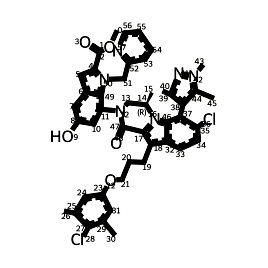 COC(=O)c1cc2cc(O)cc(N3C[C@@H](C)n4c(c(CCCOc5cc(C)c(Cl)c(C)c5)c5ccc(Cl)c(-c6c(C)nn(C)c6C)c54)C3=O)c2n1Cc1ccccn1